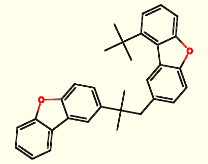 CC(C)(C)c1cccc2oc3ccc(CC(C)(C)c4ccc5oc6ccccc6c5c4)cc3c12